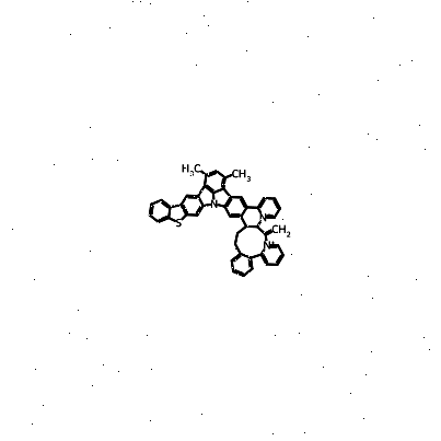 C=C1C2C(CCc3ccccc3-c3cccc[n+]31)c1cc3c(cc1-c1cccc[n+]12)c1c(C)cc(C)c2c4cc5c(cc4n3c12)sc1ccccc15